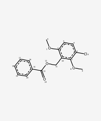 COc1ccc(Cl)c(OC)c1COC(=O)c1ccccc1